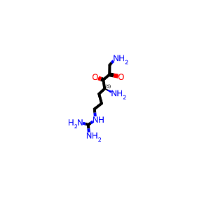 NCC(=O)C(=O)[C@@H](N)CCCNC(N)N